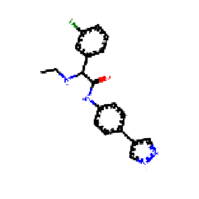 CCNC(C(=O)Nc1ccc(-c2cn[nH]c2)cc1)c1cccc(F)c1